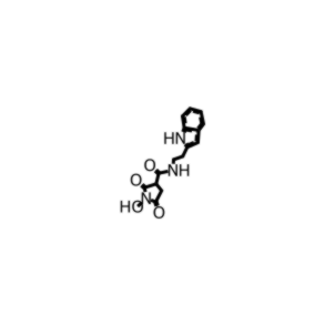 O=C(NCCc1cc2ccccc2[nH]1)C1CC(=O)N(O)C1=O